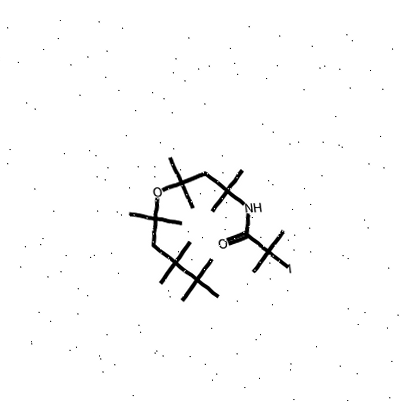 CC(C)(CC(C)(C)OC(C)(C)CC(C)(C)C(C)(C)C)NC(=O)C(C)(C)I